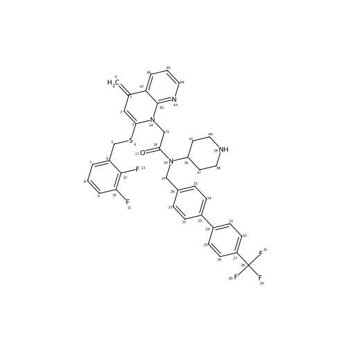 C=C1C=C(SCc2cccc(F)c2F)N(CC(=O)N(Cc2ccc(-c3ccc(C(F)(F)F)cc3)cc2)C2CCNCC2)c2ncccc21